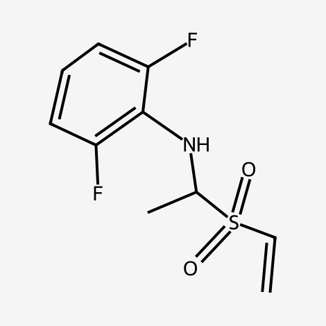 C=CS(=O)(=O)C(C)Nc1c(F)cccc1F